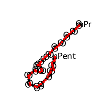 CCCCCC1CCC(C2CCC(C(=O)Oc3ccc(OC(=O)c4ccc(OCCCCCCCCOC(=O)CCC(=O)OCCCCCC(=O)OCCCCCC(=O)OCCCCCC(=O)OCCCCCC(=O)OCCCCCC(=O)OCCOCCOCCOCCOC(=O)CCCCCOC(=O)CCCCCOC(=O)CCCCCOC(=O)CCCCCOC(=O)CCCCCOC(=O)CCC)cc4)cc3)CC2)CC1